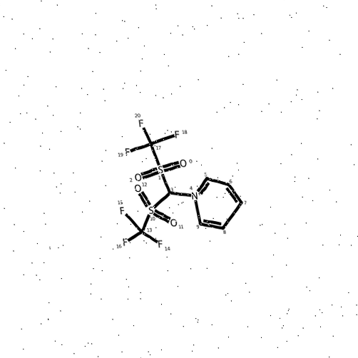 O=S(=O)(C([n+]1ccccc1)S(=O)(=O)C(F)(F)F)C(F)(F)F